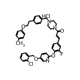 Cc1ccc(OCCc2ccc(CN3CCN(C(=O)/C=C/c4ccc(Oc5ccc(OCc6ccccc6Cl)cn5)c(F)c4)CC3)cc2)cc1.Cl